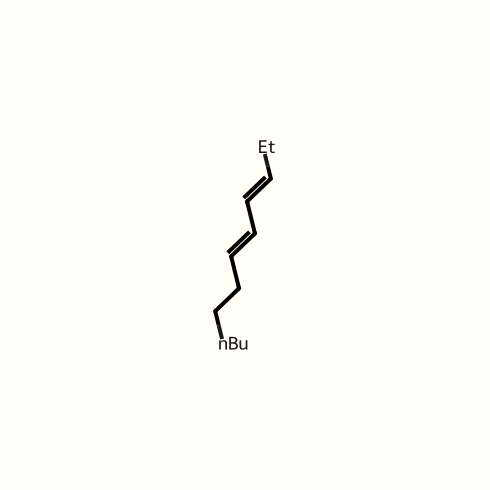 [CH2]C/C=C/C=C/CCCCCC